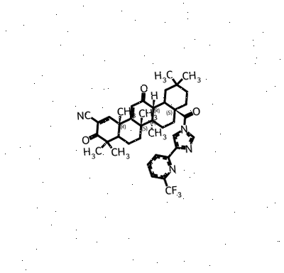 CC1(C)CC[C@]2(C(=O)n3cnc(-c4cccc(C(F)(F)F)n4)c3)CC[C@]3(C)[C@H](C(=O)C=C4[C@@]5(C)C=C(C#N)C(=O)C(C)(C)C5CC[C@]43C)C2C1